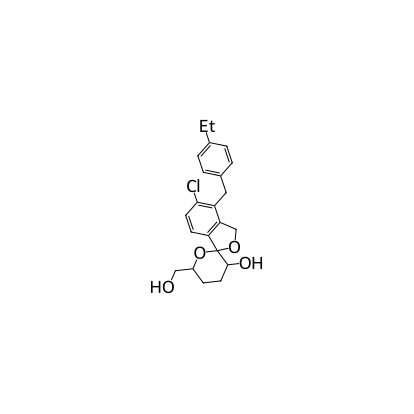 CCc1ccc(Cc2c(Cl)ccc3c2COC32OC(CO)CCC2O)cc1